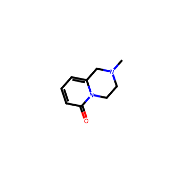 CN1CCn2c(cccc2=O)C1